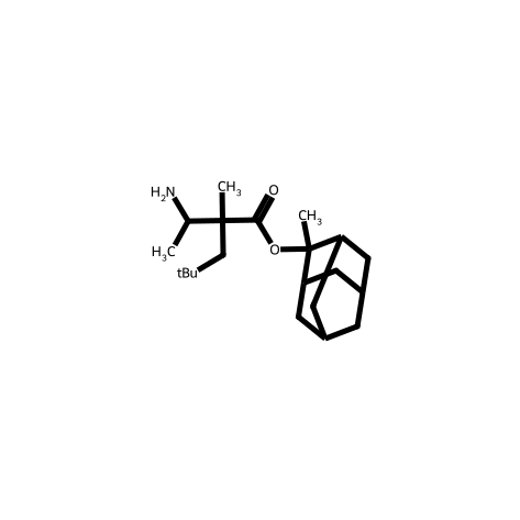 CC(N)C(C)(CC(C)(C)C)C(=O)OC1(C)C2CC3CC(C2)CC1C3